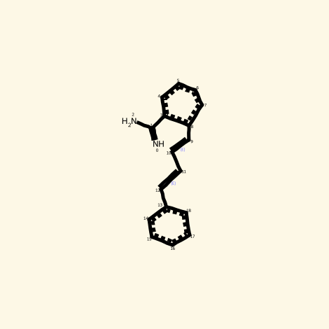 N=C(N)c1ccccc1/C=C/C=C/c1ccccc1